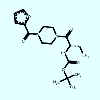 CC[C@H](NC(=O)OC(C)(C)C)C(=O)N1CCN(C(=O)c2ccco2)CC1